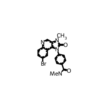 CNC(=O)c1ccc(-n2c(=O)n(C)c3cnc4ccc(Br)cc4c32)cc1